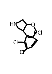 Cl.Clc1ccc2c(c1Cl)C1CNCC1OC2